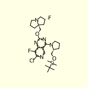 CC(C)(C)[Si](C)(C)OC[C@@H]1CCCN1c1nc(OC[C@@]23CCCN2C[C@H](F)C3)nc2c(F)c(Cl)ncc12